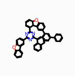 C1=CC2Oc3ccc(-c4cccc(-c5ccccc5)c4)cc3C2C(c2nc(-c3ccc4oc5ccccc5c4c3)nc(-c3cccc4ccccc34)n2)=C1